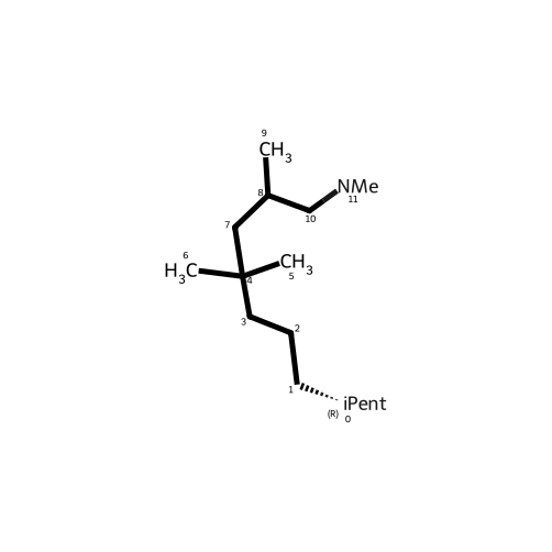 CCC[C@@H](C)CCCC(C)(C)CC(C)CNC